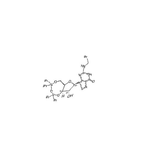 CC(C)CNc1nc2c(ncn2[C@@H]2OC3CO[Si](C(C)C)(C(C)C)O[Si](C(C)C)(C(C)C)O[C@@H]3[C@H]2O)c(=O)[nH]1